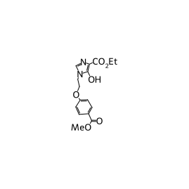 CCOC(=O)c1ncn(CCOc2ccc(C(=O)OC)cc2)c1O